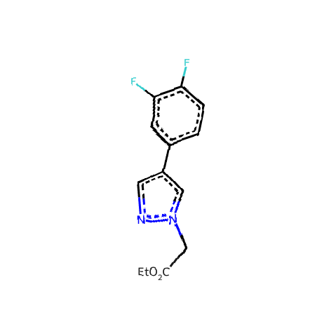 CCOC(=O)Cn1cc(-c2ccc(F)c(F)c2)cn1